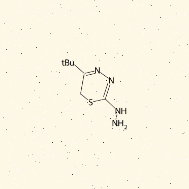 CC(C)(C)C1=NN=C(NN)SC1